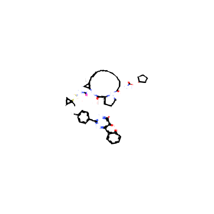 CC(C)c1ccc(-c2nc(O[C@@H]3C[C@H]4C(=O)N[C@]5(C(=O)NS(=O)(=O)C6(C)CC6)C[C@H]5/C=C\CCCCC[C@H](NC(=O)OC5CCCC5)C(=O)N4C3)c3oc4ccccc4c3n2)cc1